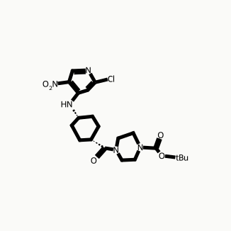 CC(C)(C)OC(=O)N1CCN(C(=O)[C@H]2CC[C@@H](Nc3cc(Cl)ncc3[N+](=O)[O-])CC2)CC1